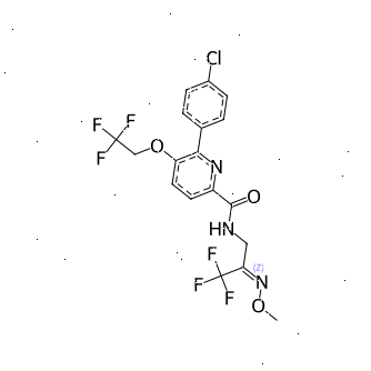 CO/N=C(/CNC(=O)c1ccc(OCC(F)(F)F)c(-c2ccc(Cl)cc2)n1)C(F)(F)F